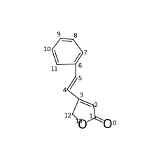 O=C1C=C(C=Cc2ccccc2)CO1